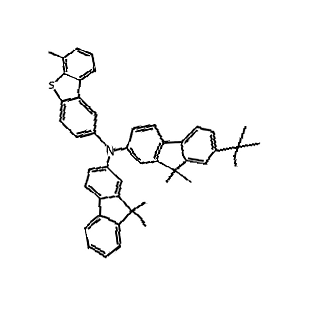 Cc1cccc2c1sc1ccc(N(c3ccc4c(c3)C(C)(C)c3ccccc3-4)c3ccc4c(c3)C(C)(C)c3cc(C(C)(C)C)ccc3-4)cc12